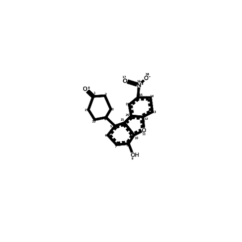 O=C1CCC(c2ccc(O)c3oc4ccc([N+](=O)[O-])cc4c23)CC1